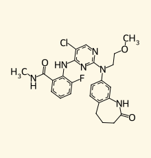 CNC(=O)c1cccc(F)c1Nc1nc(N(CCOC)c2ccc3c(c2)NC(=O)CCC3)ncc1Cl